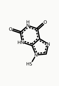 O=c1[nH]c(=O)c2ncn(S)c2[nH]1